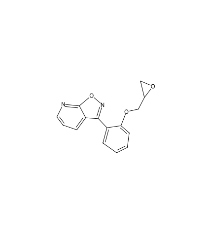 c1ccc(-c2noc3ncccc23)c(OCC2CO2)c1